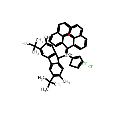 Cc1cc2c(cc1C(C)(C)C)-c1cc(C(C)(C)C)c(C)cc1[CH]2[Zr+2]([C]1=CC=CC1)=[C](c1cccc2ccccc12)c1cccc2ccccc12.[Cl-].[Cl-]